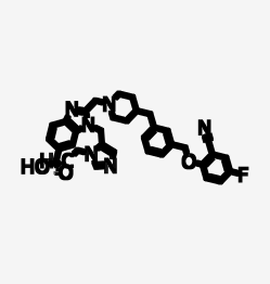 CCn1cncc1Cn1c(CN2CCC(Cc3cccc(COc4ccc(F)cc4C#N)c3)CC2)nc2ccc(C(=O)O)cc21